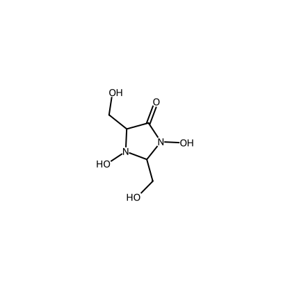 O=C1C(CO)N(O)C(CO)N1O